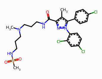 Cc1c(C(=O)NCCCN(C)CCCNS(C)(=O)=O)nn(-c2ccc(Cl)cc2Cl)c1-c1ccc(Cl)cc1